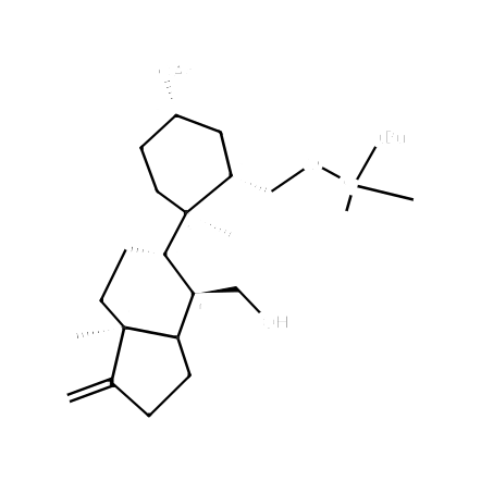 C=C1CCC2[C@H](CO)[C@@H]([C@@]3(C)CC[C@H](OC(C)=O)C[C@@H]3CO[Si](C)(C)C(C)(C)C)CC[C@]12C